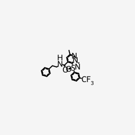 CN=S(=O)(c1cccc(C(F)(F)F)c1)c1nnc(C)cc1C(=O)NCCc1ccccc1